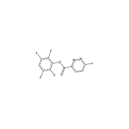 O=C(Oc1c(F)c(F)cc(F)c1F)c1ccc(I)nn1